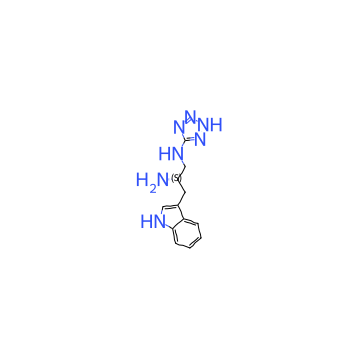 N[C@H](CNc1nn[nH]n1)Cc1c[nH]c2ccccc12